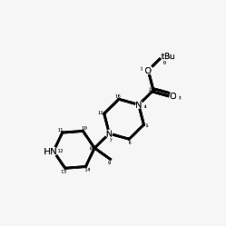 CC(C)(C)OC(=O)N1CCN(C2(C)CCNCC2)CC1